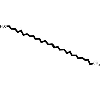 CCCCCCCCCCCCC/C=C/CCCCCCCCCCCCCCC